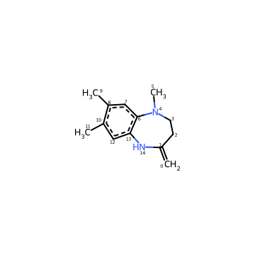 C=C1CCN(C)c2cc(C)c(C)cc2N1